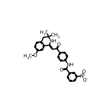 COc1ccc2c(c1)C(=CC(=O)c1ccc(NC(=O)c3cccc([N+](=O)[O-])c3)cc1)NC(C)(C)C2